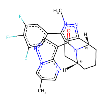 Cc1cnc2c(C(=O)N3[C@@H]4CCC[C@H]3c3nn(C)c(-c5cc(F)c(F)c(F)c5)c3C4)cnn2c1